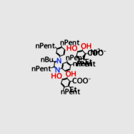 CCCCCC(=Nc1ccc(CCCCC)c(CCCCC)c1)C(CCCC)=Nc1ccc(CCCCC)c(CCCCC)c1.CCCCCc1cc(O)c(O)c(C(=O)[O-])c1CC.CCCCCc1cc(O)c(O)c(C(=O)[O-])c1CC.[Ni+2]